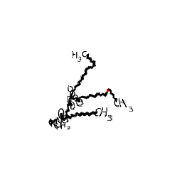 CCCCC/C=C\C/C=C\CCCCCCCC(=O)OCC(COC(=O)CCCCCCC/C=C\C/C=C\CCCCC)OC(=O)CCCC(CCCCCCCCCCCC)OC(=O)NCC1CCCN1C